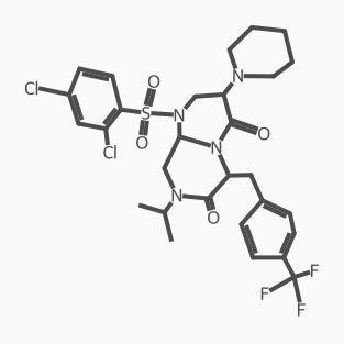 CC(C)N1CC2N(C(=O)C(N3CCCCC3)CN2S(=O)(=O)c2ccc(Cl)cc2Cl)C(Cc2ccc(C(F)(F)F)cc2)C1=O